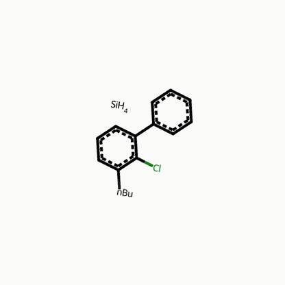 CCCCc1cccc(-c2ccccc2)c1Cl.[SiH4]